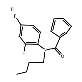 CCCCN(C(=O)c1ccccc1)c1ccc(F)[c]c1F.[Ti]